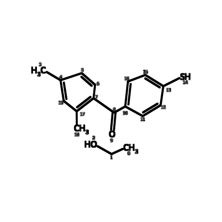 CCO.Cc1ccc(C(=O)c2ccc(S)cc2)c(C)c1